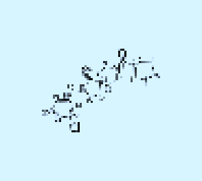 O=C(c1ccccc1)N1CCC2(CC1)CCN(Cc1cccc(Cl)c1)C2=O